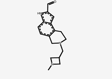 CN1CC(CN2CCc3c(ccc4[nH]c(C=O)cc34)C2)C1